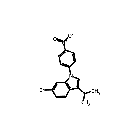 CC(C)c1cn(-c2ccc([N+](=O)[O-])cc2)c2cc(Br)ccc12